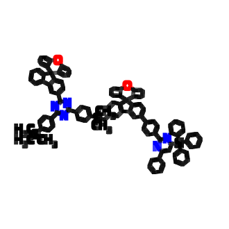 C[Si](C)(C)c1ccc(-c2nc(-c3ccc([Si](C)(C)Cc4ccc5c(c4)-c4cc(-c6ccc(-c7nc(-c8ccccc8)cc([Si](c8ccccc8)(c8ccccc8)c8ccccc8)n7)cc6)ccc4C54c5ccccc5Oc5ccccc54)cc3)nc(-c3ccc4c(c3)-c3ccccc3C43c4ccccc4Oc4ccccc43)n2)cc1